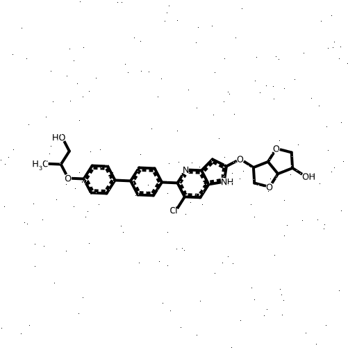 CC(CO)Oc1ccc(-c2ccc(-c3nc4cc(OC5COC6C(O)COC56)[nH]c4cc3Cl)cc2)cc1